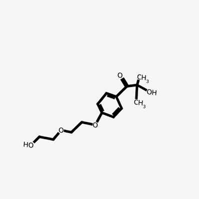 CC(C)(O)C(=O)c1ccc(OCCOCCO)cc1